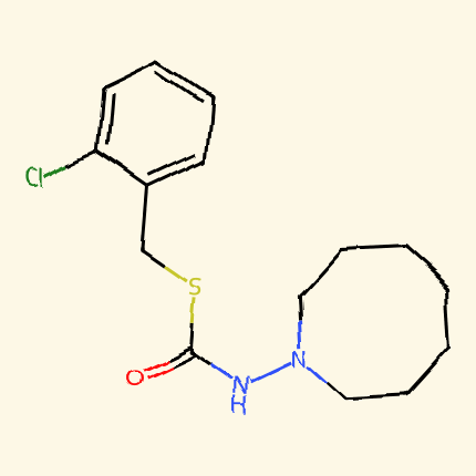 O=C(NN1CCCCCCC1)SCc1ccccc1Cl